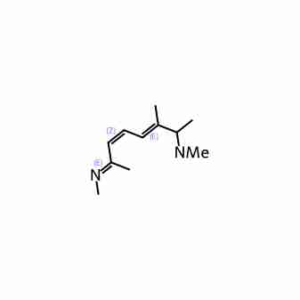 C/N=C(C)/C=C\C=C(/C)C(C)NC